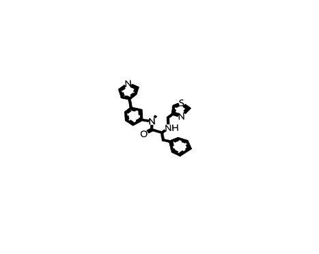 CN(C(=O)C(Cc1ccccc1)NCc1cscn1)c1cccc(-c2ccncc2)c1